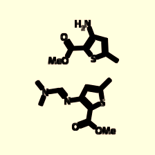 COC(=O)c1sc(C)cc1/N=C/N(C)C.COC(=O)c1sc(C)cc1N